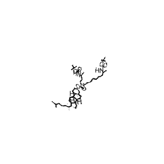 CC(C)CCC[C@@H](C)[C@H]1CC[C@H]2[C@@H]3CC=C4C[C@@H](OC(=O)N(CCCCCCCC(C)NC(=O)OC(C)(C)C)CCC(C)NC(=O)OC(C)(C)C)CC[C@]4(C)[C@H]3CC[C@]12C